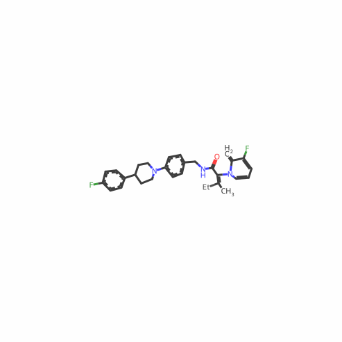 C=C1C(F)=CC=CN1/C(C(=O)NCc1ccc(N2CCC(c3ccc(F)cc3)CC2)cc1)=C(\C)CC